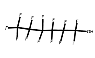 OC(F)(F)C(F)(F)C(F)(F)C(F)(F)C(F)(F)C(F)(F)F